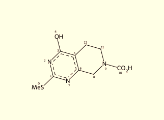 CSc1nc(O)c2c(n1)CN(C(=O)O)CC2